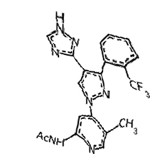 CC(=O)Nc1cc(-n2cc(-c3nc[nH]n3)c(-c3ccccc3C(F)(F)F)n2)c(C)cn1